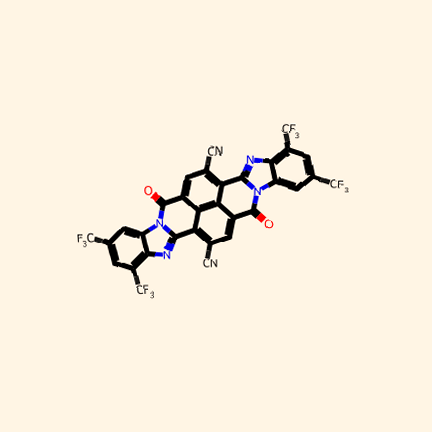 N#Cc1cc2c(=O)n3c4cc(C(F)(F)F)cc(C(F)(F)F)c4nc3c3c(C#N)cc4c(=O)n5c6cc(C(F)(F)F)cc(C(F)(F)F)c6nc5c1c4c23